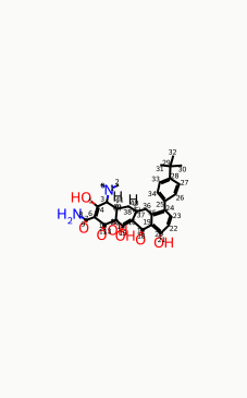 CN(C)C1C(O)=C(C(N)=O)C(=O)[C@]2(O)C(O)=C3C(=O)c4c(O)ccc(-c5ccc(C(C)(C)C)cc5)c4C[C@@H]3C[C@H]12